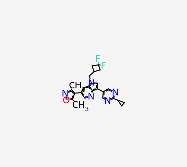 Cc1noc(C)c1-c1cnc2c(-c3cnc(C4CC4)nc3)cn(CC3CC(F)(F)C3)c2c1